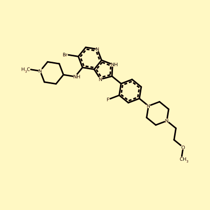 COCCN1CCN(c2ccc(-c3nc4c(NC5CCN(C)CC5)c(Br)cnc4[nH]3)c(F)c2)CC1